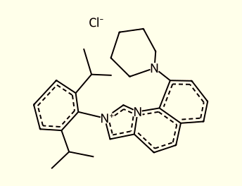 CC(C)c1cccc(C(C)C)c1-[n+]1cc2ccc3cccc(N4CCCCC4)c3n2c1.[Cl-]